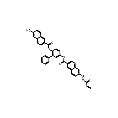 C=CC(=O)OOc1ccc2cc(C(=O)Oc3ccc(OC(=O)c4ccc5cc(O)ccc5c4)c(-c4ccccc4)c3)ccc2c1